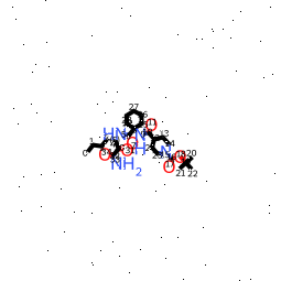 CCCC[C@H](NC(=O)C1(NC(=O)C2CCN(C(=O)OC(C)(C)C)CC2)CCCCC1)C(=O)C(N)=O